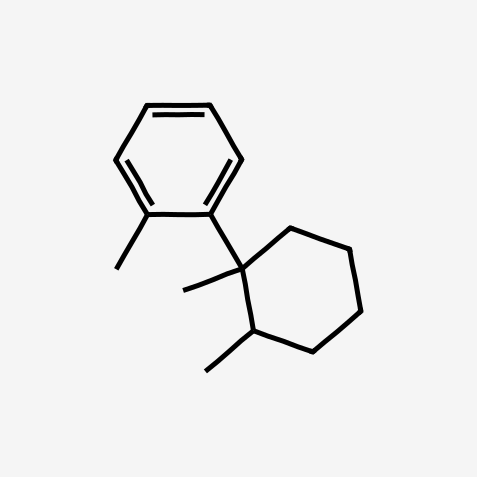 Cc1ccccc1C1(C)CCCCC1C